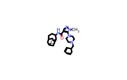 Cn1ncc(C(=O)NC2CCC3CC4CC(C3)C2C4)c1N1CCN(CC2C=CC=CC2)CC1